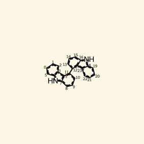 c1ccc2c(c1)[nH]c1cccc(-c3cccc4[nH]c5ccccc5c34)c12